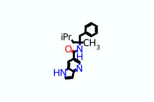 CC(C)CC(C)(Cc1ccccc1)NC(=O)c1cnc2cc[nH]c2c1